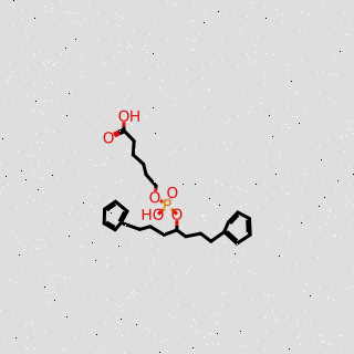 O=C(O)CCCCCOP(=O)(O)OC(CCCc1ccccc1)CCCc1ccccc1